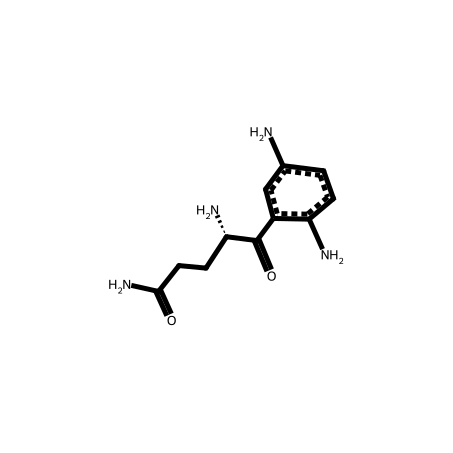 NC(=O)CC[C@H](N)C(=O)c1cc(N)ccc1N